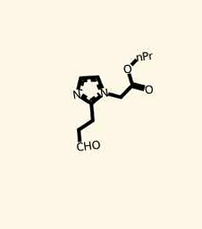 CCCOC(=O)Cn1ccnc1CCC=O